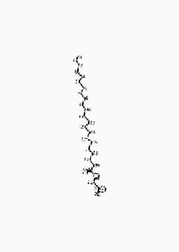 CCCCCCCCCCCCCCCCCCCCCC(=O)OCC1CO1